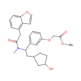 CN(C(=O)Cc1cccc2occc12)C(CC1CCC(O)C1)c1cccc(OCC(=O)OC(C)(C)C)c1